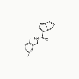 Cc1ccc(C)c(CNC(=O)C2=CC=C3C=CC=C32)c1